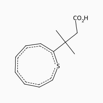 CC(C)(CC(=O)O)c1cccccccs1